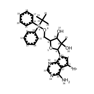 [3H]c1cn(C2OC(CO[Si](c3ccccc3)(c3ccccc3)C(C)(C)C)C(O)C2(C)O)c2ncnc(N)c12